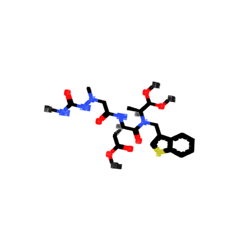 CCNC(=O)NN(C)CC(=O)N[C@@H](CC(=O)OC(C)(C)C)C(=O)N(Cc1csc2ccccc12)[C@@H](C)C(OCC)OCC